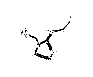 Cn1nnnc1SCI